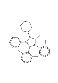 Cc1ccccc1N1C(c2c(C)cccc2C)N(c2ccccc2)C(C2CCCCC2)[C@@H]1C